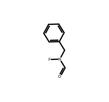 O=CN(F)Cc1ccccc1